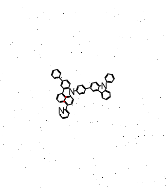 c1ccc(-c2ccc(N(c3ccc(-c4ccc5c(c4)c4ccccc4n5-c4ccccc4)cc3)c3ccc(-c4ccccn4)cc3)c(-c3ccccc3)c2)cc1